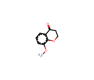 O=C1CCOc2c(OC(F)(F)F)cccc21